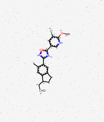 Cc1cc2c(cc1-c1noc(-c3cnc(OC(C)C)c(Cl)c3)n1)CCC2CC=O